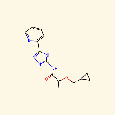 CC(OCC1CC1)C(=O)Nc1nnc(-c2ccccn2)[nH]1